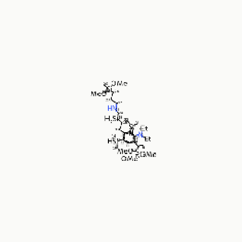 CCN(CC)c1c(C(C)[Si](OC)(OC)OC)cc([SiH](C)C)c(CC[SiH2]CNCCC[Si](C)(OC)OC)c1[SiH](C)C